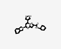 O=C(Nc1ccccc1)c1cc2nc(N3Cc4ccccc4C3)cc(-c3cn[nH]c3)n2n1